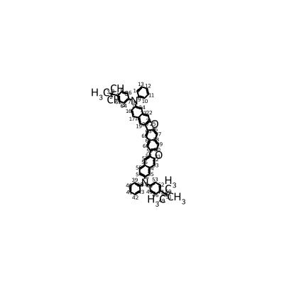 CC(C)(C)c1ccc(N(c2ccccc2)c2ccc3cc4c(cc3c2)oc2cc3cc5oc6cc7cc(N(c8ccccc8)c8ccc(C(C)(C)C)cc8)ccc7cc6c5cc3cc24)cc1